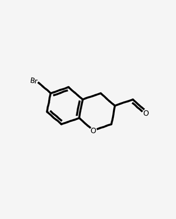 O=CC1COc2ccc(Br)cc2C1